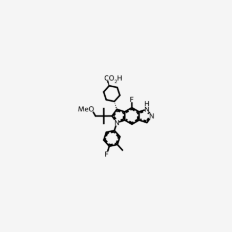 COCC(C)(C)c1c([C@H]2CC[C@H](C(=O)O)CC2)c2c(F)c3[nH]ncc3cc2n1-c1ccc(F)c(C)c1